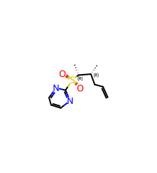 C=CC[C@@H](C)[C@@H](C)S(=O)(=O)c1ncccn1